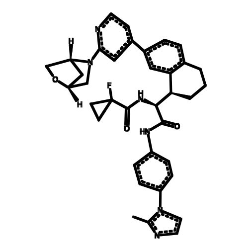 Cc1nccn1-c1ccc(NC(=O)[C@@H](NC(=O)C2(F)CC2)[C@@H]2CCCc3ccc(-c4ccnc(N5C[C@H]6C[C@@H]5CO6)c4)cc32)cc1